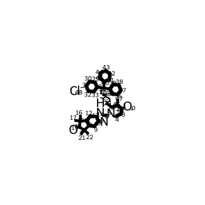 COc1cc[n+](-c2nc3cc4c(cc3[nH]2)C(C)(C)C(=O)C4(C)C)c(CSSC(c2ccccc2)(c2ccccc2)c2ccccc2)c1C.[Cl-]